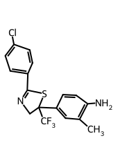 Cc1cc(C2(C(F)(F)F)CN=C(c3ccc(Cl)cc3)S2)ccc1N